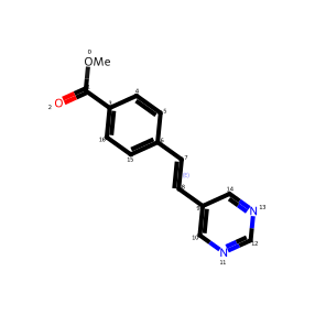 COC(=O)c1ccc(/C=C/c2cncnc2)cc1